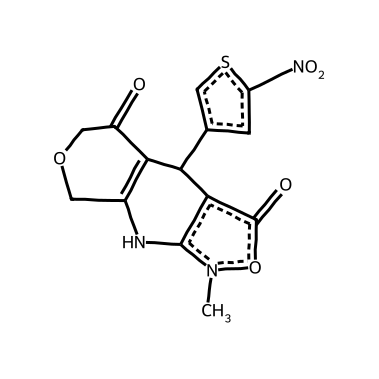 Cn1oc(=O)c2c1NC1=C(C(=O)COC1)C2c1csc([N+](=O)[O-])c1